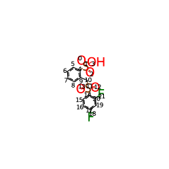 O=S(=O)(O)c1ccccc1CS(=O)(=O)c1ccc(F)cc1F